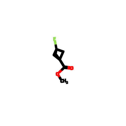 COC(=O)C12CC(F)(C1)C2